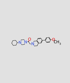 COc1ccc(-c2ccc3c(c2)CCN(CC(=O)N2CCN(C4CCCCC4)CC2)C3)cc1